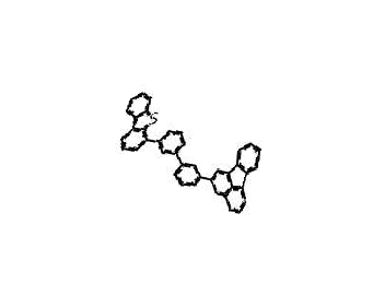 c1cc(-c2cccc(-c3cccc4c3sc3ccccc34)c2)cc(-c2cc3c4c(cccc4c2)-c2ccccc2-3)c1